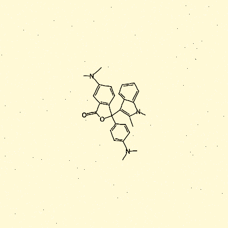 Cc1c(C2(c3ccc(N(C)C)cc3)OC(=O)c3cc(N(C)C)ccc32)c2ccccc2n1C